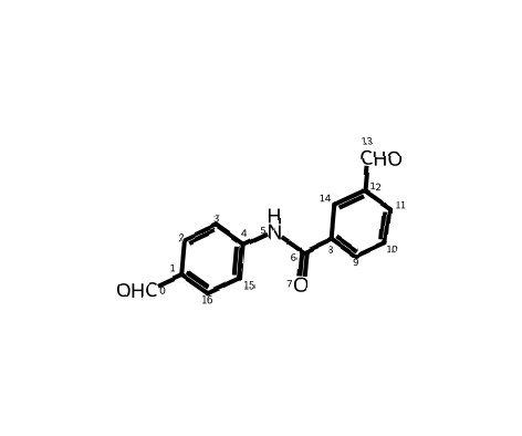 O=Cc1ccc(NC(=O)c2cccc(C=O)c2)cc1